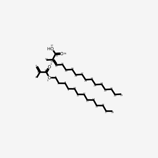 C=C(C)C(=O)OCCCCCCCCCCCCC.CCCCCCCCCCCCCC=C(C)C(=O)O